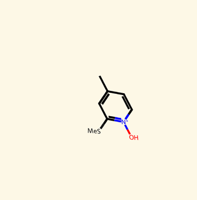 CSc1cc(C)cc[n+]1O